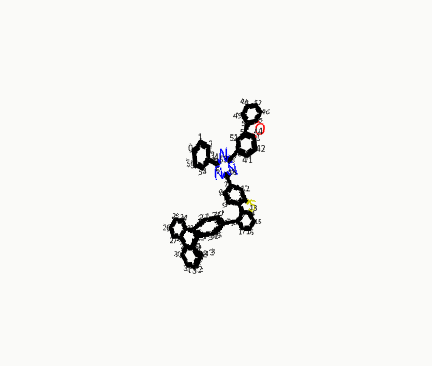 c1ccc(-c2nc(-c3ccc4c(c3)sc3cccc(-c5ccc6c7ccccc7c7ccccc7c6c5)c34)nc(-c3ccc4oc5ccccc5c4c3)n2)cc1